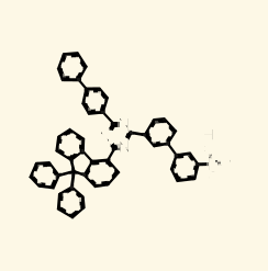 CP(C)(=O)c1cccc(-c2cccc(-c3nc(-c4ccc(-c5ccccc5)cc4)nc(-c4cccc5c4-c4ccccc4C5(c4ccccc4)c4ccccc4)n3)c2)c1